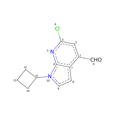 O=Cc1cc(Cl)nc2c1ccn2C1CCC1